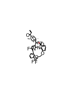 C=CC(=O)N1C[C@H](C)N(c2nc(=O)n3c4nc(c(F)cc24)-c2cccc(C(F)(F)F)c2OCCOc2cccc(C(C)C)c2-3)C[C@H]1C